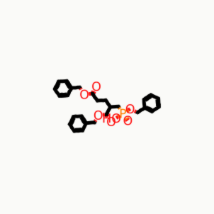 O=C(CCC(CP(=O)(O)OCc1ccccc1)C(=O)OCc1ccccc1)OCc1ccccc1